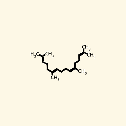 CC(C)=CCC/C(C)=C\C[CH]/C=C(\C)CCC=C(C)C